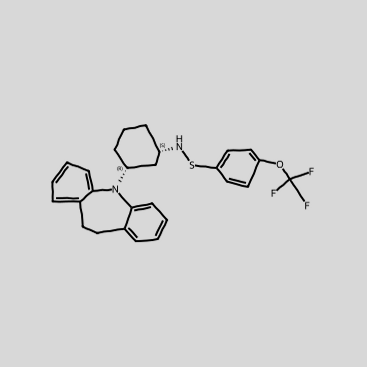 FC(F)(F)Oc1ccc(SN[C@H]2CCC[C@@H](N3c4ccccc4CCc4ccccc43)C2)cc1